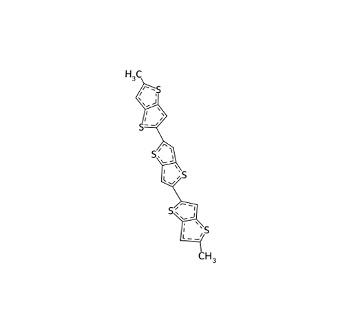 Cc1cc2sc(-c3cc4sc(-c5cc6sc(C)cc6s5)cc4s3)cc2s1